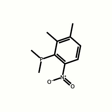 Cc1ccc([N+](=O)[O-])c(P(C)C)c1C